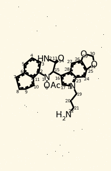 CC(=O)ON1c2c(ccc3ccccc23)NC(=O)C1c1cn(CCCN)c2cc3c(cc12)OCO3